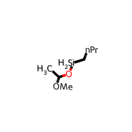 CCCC[SiH2]OC(C)OC